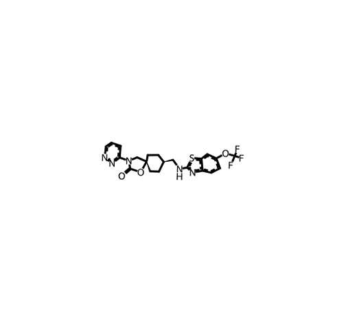 O=C1O[C@]2(CC[C@H](CNc3nc4ccc(OC(F)(F)F)cc4s3)CC2)CN1c1cccnn1